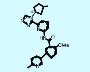 COc1ccc(-c2ccc(C)nc2)cc1C(=O)Nc1cccc(-c2nncn2[C@H]2CCC(C)C2)n1